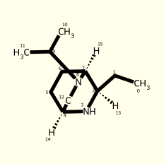 CC[C@H]1N[C@H]2CC[C@@H]1N(C(C)C)C2